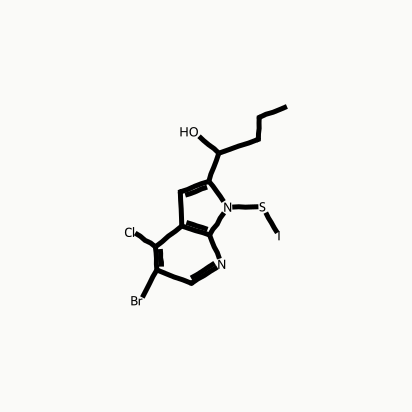 CCCC(O)c1cc2c(Cl)c(Br)cnc2n1SI